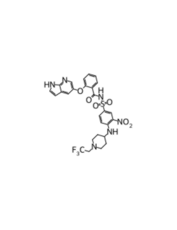 O=C(NS(=O)(=O)c1ccc(NC2CCN(CC(F)(F)F)CC2)c([N+](=O)[O-])c1)c1ccccc1Oc1cnc2[nH]ccc2c1